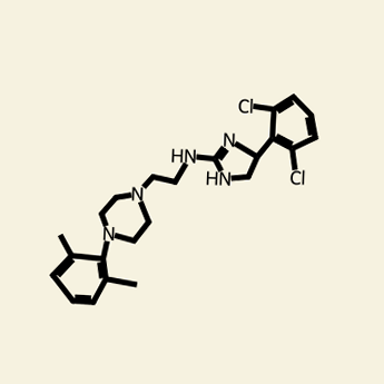 Cc1cccc(C)c1N1CCN(CCNC2=NC(c3c(Cl)cccc3Cl)CN2)CC1